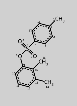 Cc1ccc(S(=O)(=O)Oc2cccc(C)c2C)cc1